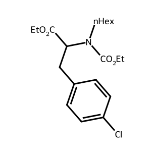 CCCCCCN(C(=O)OCC)C(Cc1ccc(Cl)cc1)C(=O)OCC